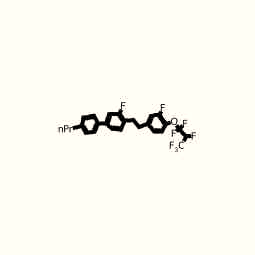 CCCc1ccc(-c2ccc(CCc3ccc(OC(F)(F)C(F)C(F)(F)F)c(F)c3)c(F)c2)cc1